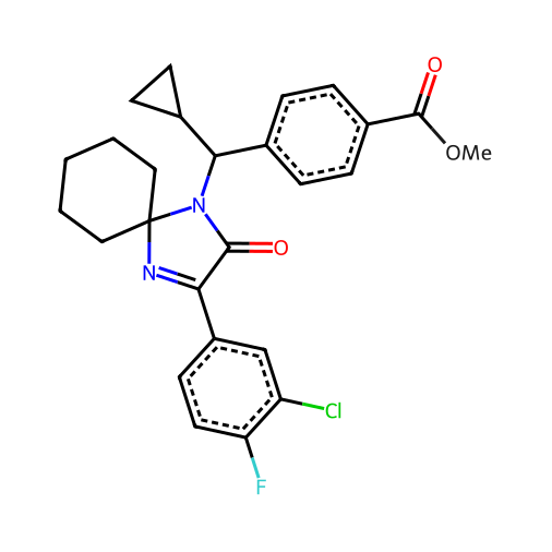 COC(=O)c1ccc(C(C2CC2)N2C(=O)C(c3ccc(F)c(Cl)c3)=NC23CCCCC3)cc1